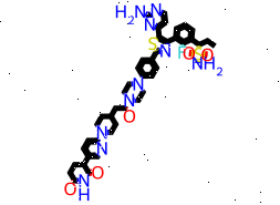 CCC(c1cccc(-c2nc(-c3ccc(N4CCN(C(=O)CC5CCN(c6ccc(C7CCC(=O)NC7=O)cn6)CC5)CC4)cc3)sc2-c2ccnc(N)n2)c1F)S(N)(=O)=O